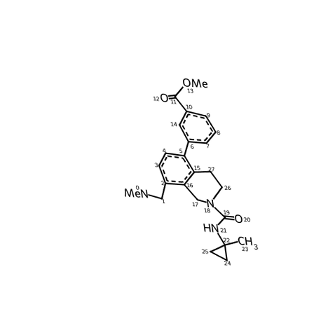 CNCc1ccc(-c2cccc(C(=O)OC)c2)c2c1CN(C(=O)NC1(C)CC1)CC2